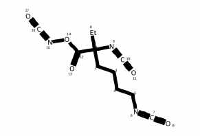 CCC(CCCCN=C=O)(N=C=O)C(=O)ON=C=O